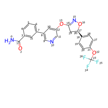 NC(=O)c1cccc(-c2cncc(OC3=NO[C@@H](c4ccc(OC(F)(F)F)cc4)C3)c2)c1